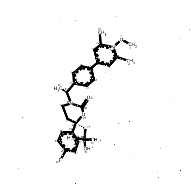 CO[n+]1c(C)cc(-c2ccc([C@H](C)N3CC[C@](CC(C)(C)O)(c4ccc(F)cc4)OC3=O)cc2)cc1C